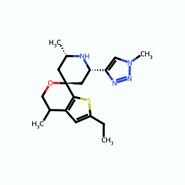 CCc1cc2c(s1)[C@]1(C[C@@H](c3cn(C)nn3)N[C@@H](C)C1)OCC2C